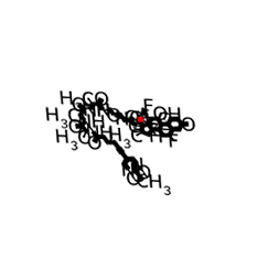 C[C@H](NC(=O)CCCC#Cc1cnc(S(C)(=O)=O)nc1)C(=O)N[C@@H](C)C(=O)N[C@@H](C)C(=O)NCOCCC(=O)O[C@]1(C(=O)SCF)[C@H](C)C[C@H]2[C@@H]3C[C@H](F)C4=CC(=O)C=C[C@]4(C)[C@@]3(F)[C@@H](O)C[C@@]21C